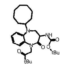 CC(C)(C)OC(=O)NC1CN(C2CCCCCCC2)c2ccccc2N(CC(=O)C(C)(C)C)C1=O